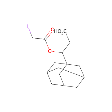 O=C(O)CC(OC(=O)CI)C12CC3CC(CC(C3)C1)C2